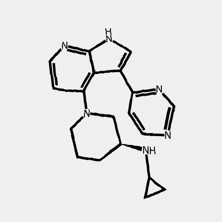 c1cc(-c2c[nH]c3nccc(N4CCC[C@H](NC5CC5)C4)c23)ncn1